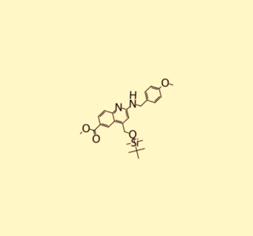 COC(=O)c1ccc2nc(NCc3ccc(OC)cc3)cc(CO[Si](C)(C)C(C)(C)C)c2c1